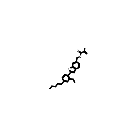 C=C(C)C(=O)OCc1ccc2cc(-c3ccc(CCCCC)cc3CC)oc2c1